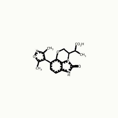 Cc1noc(C)c1-c1ccc2[nH]c(=O)n3c2c1OCC3C(C)C(=O)O